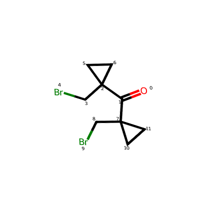 O=C(C1(CBr)CC1)C1(CBr)CC1